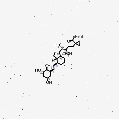 C=C1/C(=C\C=C2/CCC[C@]3(C)[C@@H]([C@H](C)[C@H](O)CCC4(C(=O)CCCCC)CC4)CC[C@@H]23)C[C@@H](O)C[C@@H]1O